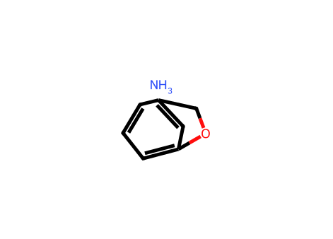 N.c1cc2cc(c1)OC2